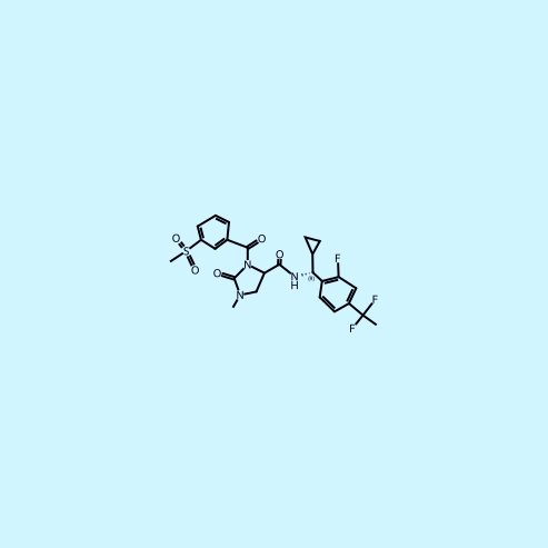 CN1CC(C(=O)N[C@@H](c2ccc(C(C)(F)F)cc2F)C2CC2)N(C(=O)c2cccc(S(C)(=O)=O)c2)C1=O